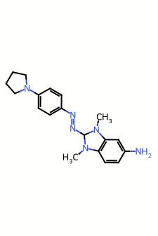 CN1c2ccc(N)cc2N(C)C1N=Nc1ccc(N2CCCC2)cc1